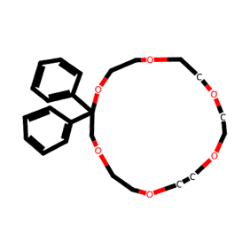 c1ccc(C2(c3ccccc3)COCCOCCOCCOCCOCCO2)cc1